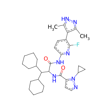 Cc1n[nH]c(C)c1-c1ccc(NC(=O)C(NC(=O)c2ccnn2C2CC2)C(C2CCCCC2)C2CCCCC2)nc1F